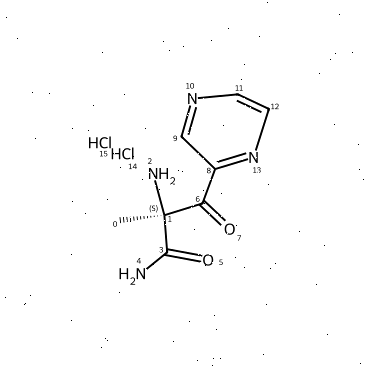 C[C@@](N)(C(N)=O)C(=O)c1cnccn1.Cl.Cl